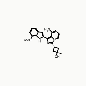 COc1cccc2cc(-c3nc([C@H]4C[C@@](C)(O)C4)n4ccnc(N)c34)[nH]c12